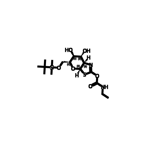 CCNC(=O)OC1=N[C@@H]2[C@@H](O)[C@H](O)[C@@H](CO[Si](C)(C)C(C)(C)C)O[C@@H]2S1